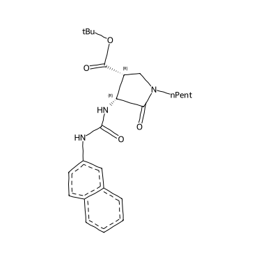 CCCCCN1C[C@@H](C(=O)OC(C)(C)C)[C@@H](NC(=O)Nc2ccc3ccccc3c2)C1=O